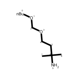 CCCCOCOCCC(C)(C)N